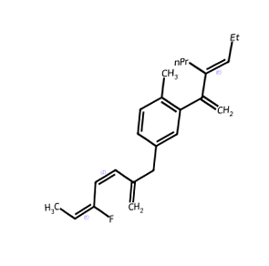 C=C(/C=C\C(F)=C/C)Cc1ccc(C)c(C(=C)/C(=C/CC)CCC)c1